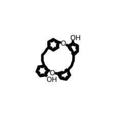 Oc1ccc2cc1Oc1ccc(cc1)CCc1cccc(O)c1Oc1cccc(c1)CC2